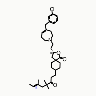 C/C=C(\C)CC(C)(C)C(=O)CCC1CCC2(CC1)C[C@H](CCN1CCC=C(Cc3cccc(Cl)c3)CC1)OC2=O